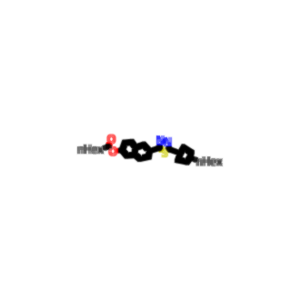 CCCCCCC(=O)Oc1ccc2cc(-c3nnc(-c4ccc(CCCCCC)cc4)s3)ccc2c1